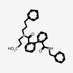 O=C(O)CCN(CCCc1ccccc1)C(=O)c1ccccc1-c1ccccc1C(=O)NCc1ccccc1